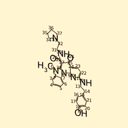 Cn1c2ccccc2n2c3nc(NCCc4ccc(O)cc4)ccc3c(=O)c(C(=O)NCCN3CCCC3)c12